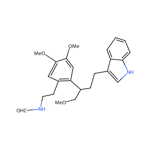 COCC(CCc1c[nH]c2ccccc12)c1cc(OC)c(OC)cc1CCNC=O